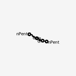 CCCCCC1CCC(CCCOc2ccc(OC(=O)C3CCC(C4CCC(CCCCC)CC4)CC3)cc2)CC1